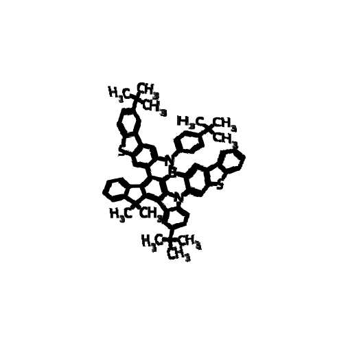 CC(C)(C)c1ccc(N2B3c4cc5c(cc4-n4c6ccc(C(C)(C)C)cc6c6c7c(c(c3c64)-c3cc4sc6ccc(C(C)(C)C)cc6c4cc32)-c2ccccc2C7(C)C)sc2ccccc25)cc1